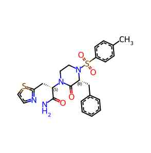 Cc1ccc(S(=O)(=O)N2CCN([C@@H](Cc3nccs3)C(N)=O)C(=O)[C@H]2Cc2ccccc2)cc1